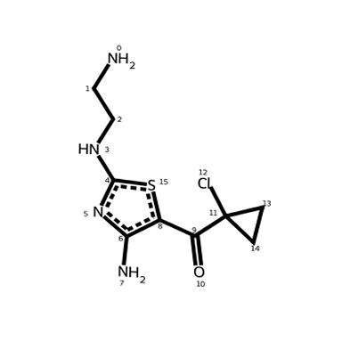 NCCNc1nc(N)c(C(=O)C2(Cl)CC2)s1